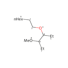 CCCCCCCCO[C](CC)C(CC)OC